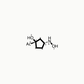 CC(=O)[C@]1(O)CC[C@@H](NO)C1